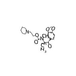 C[C@H](C(=O)c1ccc2c(c1)OCO2)N(C)C(=O)OCCN1CCCCC1